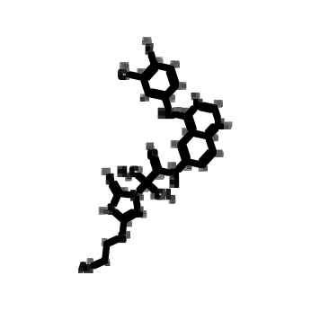 CC(=O)CCSc1nn(C(C)(C)C(=O)Nc2ccc3ncnc(Nc4ccc(F)c(Cl)c4)c3c2)c(=S)s1